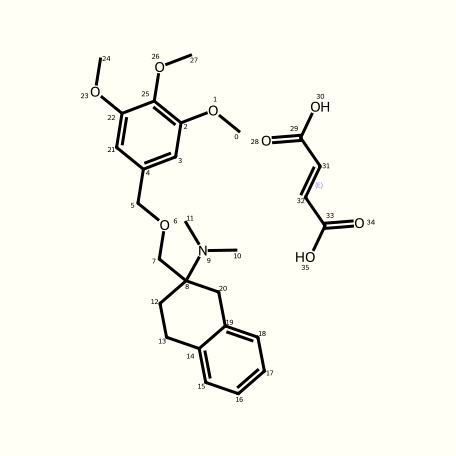 COc1cc(COCC2(N(C)C)CCc3ccccc3C2)cc(OC)c1OC.O=C(O)/C=C/C(=O)O